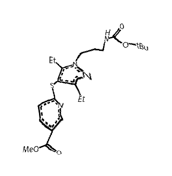 CCc1nn(CCNC(=O)OC(C)(C)C)c(CC)c1Sc1ccc(C(=O)OC)cn1